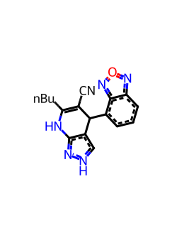 CCCCC1=C(C#N)C(c2cccc3nonc23)c2c[nH]nc2N1